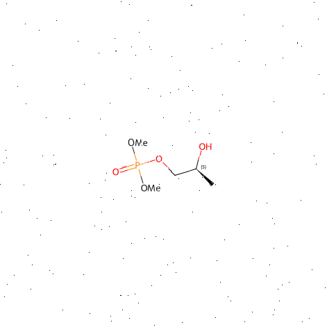 [CH2][C@H](O)COP(=O)(OC)OC